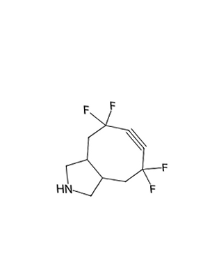 FC1(F)C#CC(F)(F)CC2CNCC2C1